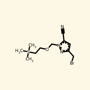 C[Si](C)(C)CCOCn1nc(CBr)cc1C#N